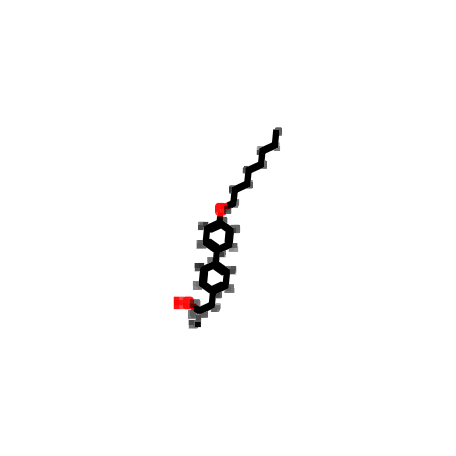 CCCCCCCCOc1ccc(-c2ccc(C[C@H](C)O)cc2)cc1